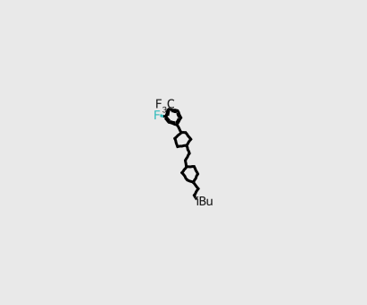 CCC(C)CCC1CCC(CCC2CCC(c3ccc(C(F)(F)F)c(F)c3)CC2)CC1